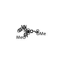 COC(=O)C=Cc1ccc(S(=O)(=O)N(c2ccc(OC)nc2)c2cc3ncnc(N4CCOCC4)c3s2)cc1